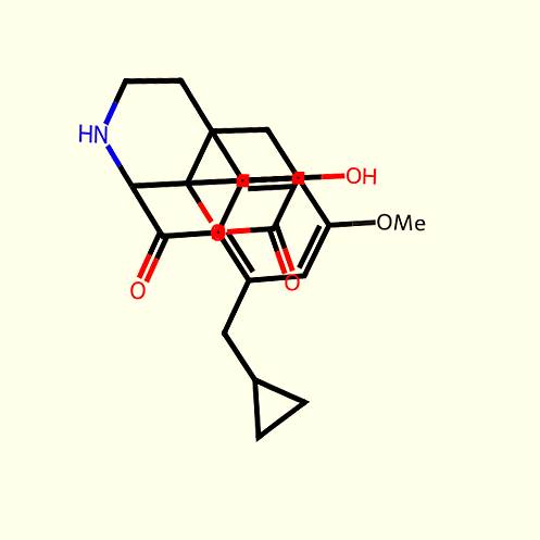 COc1cc(CC2CC2)c2c(c1)C13CCNC(C2=O)C12CCC(O)(C3)C(=O)O2